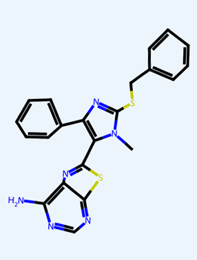 Cn1c(SCc2ccccc2)nc(-c2ccccc2)c1-c1nc2c(N)ncnc2s1